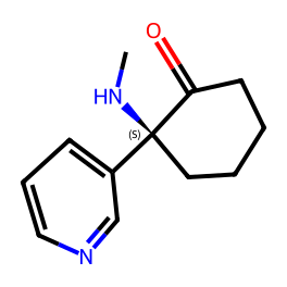 CN[C@]1(c2cccnc2)CCCCC1=O